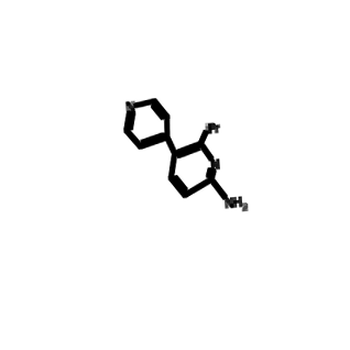 CC(C)c1nc(N)ccc1-c1ccncc1